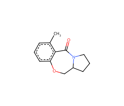 Cc1cccc2c1C(=O)N1CCCC1CO2